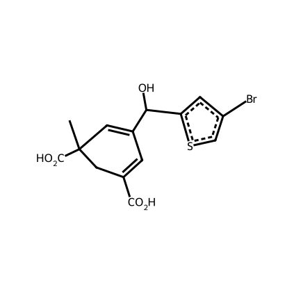 CC1(C(=O)O)C=C(C(O)c2cc(Br)cs2)C=C(C(=O)O)C1